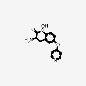 NC1Cc2cc(Oc3ccncc3)ccc2N(O)C1=O